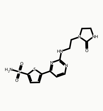 NS(=O)(=O)c1ccc(-c2ccnc(NCCN3CCNC3=O)n2)s1